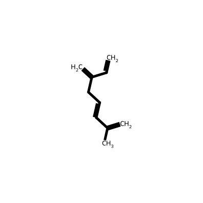 C=CC(=C)C/C=C/C(=C)C